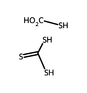 O=C(O)S.S=C(S)S